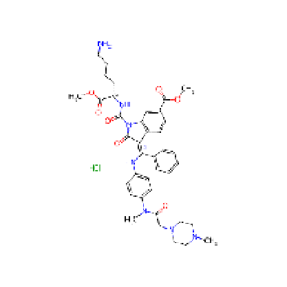 COC(=O)c1ccc2c(c1)N(C(=O)N[C@@H](CCCCN)C(=O)OC)C(=O)/C2=C(\Nc1ccc(N(C)C(=O)CN2CCN(C)CC2)cc1)c1ccccc1.Cl